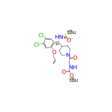 C=CCOc1cc(Cl)c(Cl)cc1[C@H](N[S@@+]([O-])C(C)(C)C)C1CCN(C(=O)CNC(=O)OC(C)(C)C)CC1